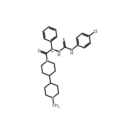 CN1CCC(C2CCN(C(=O)[C@H](NC(=S)Nc3ccc(Cl)cc3)c3ccccc3)CC2)CC1